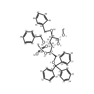 CO[C@@H]1O[C@H]([C@@H](COC(c2ccccc2)(c2ccccc2)c2ccccc2)OS(C)(=O)=O)[C@H](OCc2ccccc2)[C@H]1OCc1ccccc1